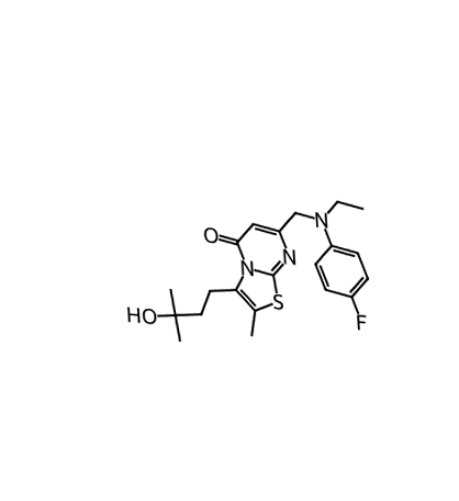 CCN(Cc1cc(=O)n2c(CCC(C)(C)O)c(C)sc2n1)c1ccc(F)cc1